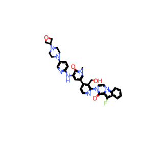 Cn1cc(-c2ccnc(-n3ccn4c(c(F)c5ccccc54)c3=O)c2CO)cc(Nc2ccc(N3CCN(C4COC4)CC3)cn2)c1=O